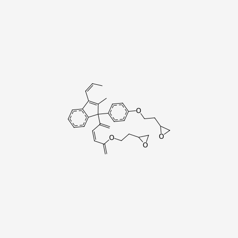 C=C(/C=C\C(=C)C1(c2ccc(OCCC3CO3)cc2)C(C)=C(/C=C\C)c2ccccc21)OCCC1CO1